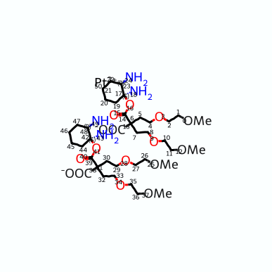 COCCOCCC(CCOCCOC)(C(=O)[O-])C(=O)O[C@@]1(N)CCCC[C@H]1N.COCCOCCC(CCOCCOC)(C(=O)[O-])C(=O)O[C@@]1(N)CCCC[C@H]1N.[Pt+2]